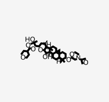 C[C@@H]1CC(C(OC(=O)C2CCOCC2)C(C)(C)O)OC2[C@H]1C1(C)CCC34CC35CCC(O[C@H]3CN(C6COC6)CCO3)C(C)(C)[C@@H]5CCC4[C@]1(C)[C@H]2O